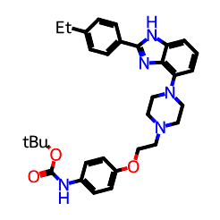 CCc1ccc(-c2nc3c(N4CCN(CCOc5ccc(NC(=O)OC(C)(C)C)cc5)CC4)cccc3[nH]2)cc1